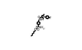 CCCCCCOC(=O)/N=C(\N)c1ccc(CNC(=O)c2cc(C)n(-c3ccc(F)cc3)c2C)cc1